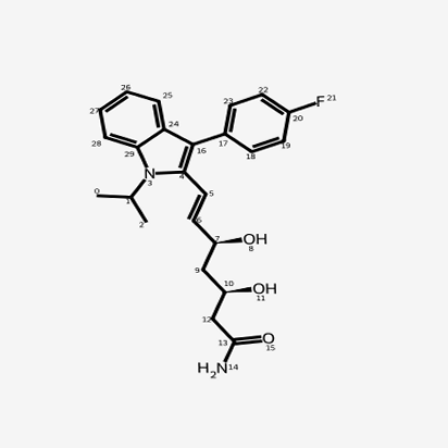 CC(C)n1c(/C=C/[C@@H](O)C[C@@H](O)CC(N)=O)c(-c2ccc(F)cc2)c2ccccc21